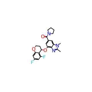 Cc1nc2c(OC3CCOc4cc(F)cc(F)c43)cc(C(=O)N3CCCC3)cc2n1C